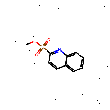 COS(=O)(=O)c1ccc2ccccc2n1